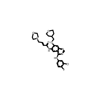 O=C(C=CCN1CCOCC1)Nc1cc2c(Nc3ccc(F)c(Cl)c3)ncnc2cc1OCC1CCOCC1